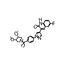 CO[C@@H]1CN(C(=O)c2ccc(-n3cc(-c4cc5cc(F)ccc5[nH]c4=O)cn3)cc2)C[C@H]1OC